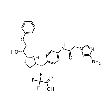 Nc1ncn(CC(=O)Nc2ccc(C[C@@H]3CC[C@H]([C@H](O)COc4ccccc4)N3)cc2)n1.O=C(O)C(F)(F)F